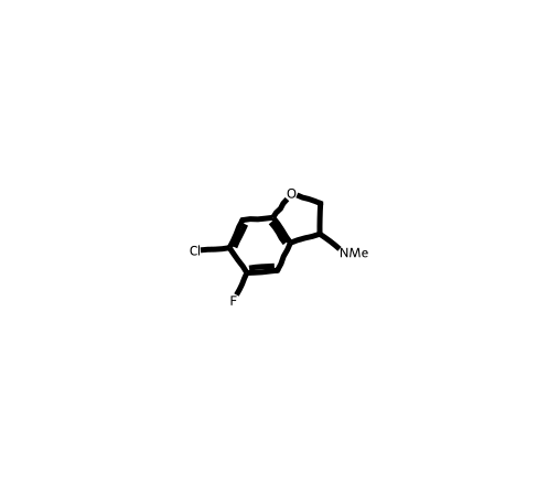 CNC1COc2cc(Cl)c(F)cc21